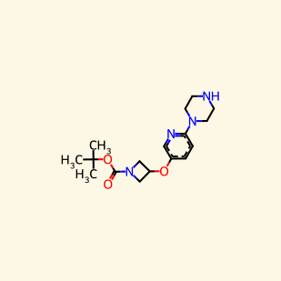 CC(C)(C)OC(=O)N1CC(Oc2ccc(N3CCNCC3)nc2)C1